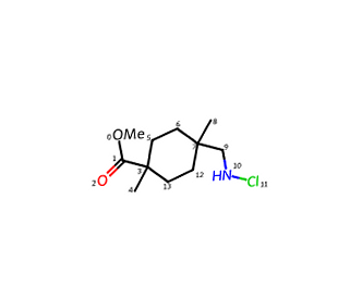 COC(=O)C1(C)CCC(C)(CNCl)CC1